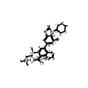 CN(C)CCN(C)c1cc(-c2cc(F)c3c(c2)ncn3C2CCCCC2)c2nc[nH]c2c1C(N)=O